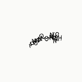 Cc1nn(CCOCCC(=O)N2CCN(c3nc4ccc(F)cc4o3)CC2)c2cn[nH]c(=O)c12